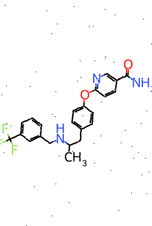 CC(Cc1ccc(Oc2ccc(C(N)=O)cn2)cc1)NCc1cccc(C(F)(F)F)c1